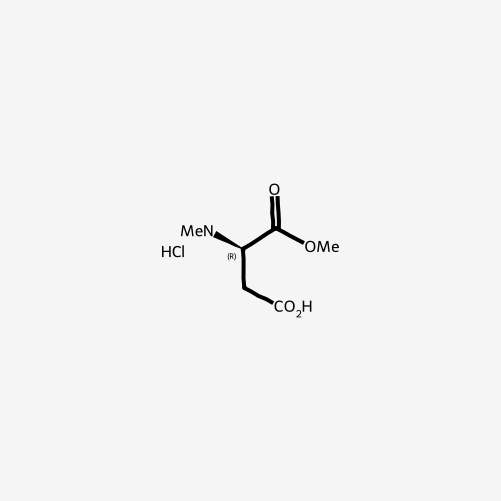 CN[C@H](CC(=O)O)C(=O)OC.Cl